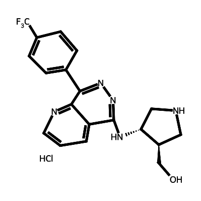 Cl.OC[C@@H]1CNC[C@H]1Nc1nnc(-c2ccc(C(F)(F)F)cc2)c2ncccc12